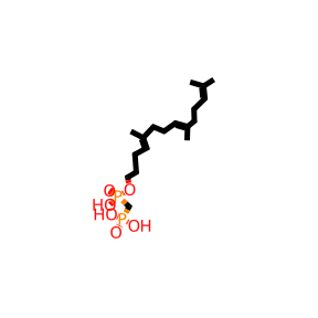 CC(C)=CCCC(C)=CCCC(C)=CCCCOP(=O)(O)CP(=O)(O)O